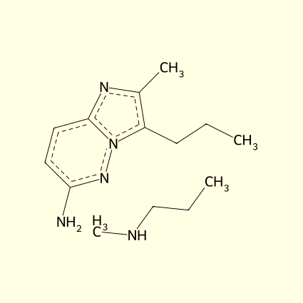 CCCNC.CCCc1c(C)nc2ccc(N)nn12